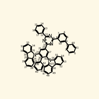 c1ccc(-c2cccc(-c3nc(-c4ccccc4)nc(-c4cc(-n5c6ccccc6c6ccccc65)c(-c5ccccc5)c(-n5c6ccccc6c6ccccc65)c4)n3)c2)cc1